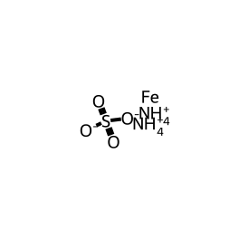 O=S(=O)([O-])[O-].[Fe].[NH4+].[NH4+]